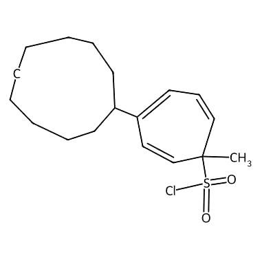 CC1(S(=O)(=O)Cl)C=CC=C(C2CCCCCCCCC2)C=C1